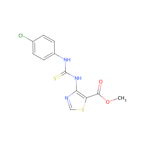 COC(=O)c1scnc1NC(=S)Nc1ccc(Cl)cc1